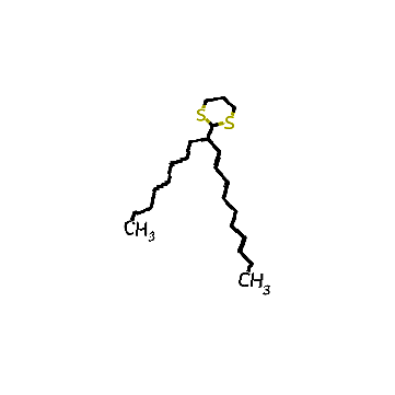 CCCCCCCCCCC(CCCCCCCC)C1SCCCS1